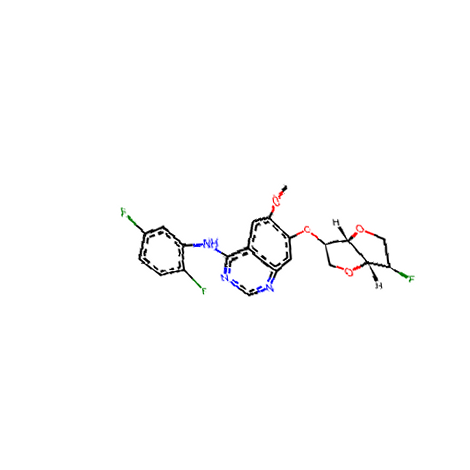 COc1cc2c(Nc3cc(F)ccc3F)ncnc2cc1OC1CO[C@H]2[C@H](F)CO[C@@H]12